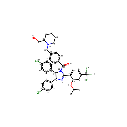 CC(C)OC1CC(C(F)(F)F)=CC=C1C1=NC(c2ccc(Cl)cc2)C(c2ccc(Cl)cc2)N1C(=O)c1ccc(CN2CCCCC2CO)cc1